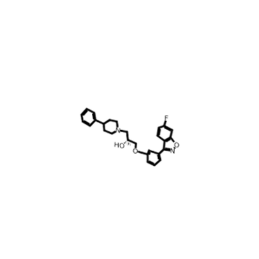 O[C@@H](COc1cccc(-c2noc3cc(F)ccc23)c1)CN1CCC(c2ccccc2)CC1